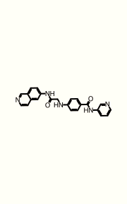 O=C(CNc1ccc(C(=O)Nc2cccnc2)cc1)Nc1ccc2cnccc2c1